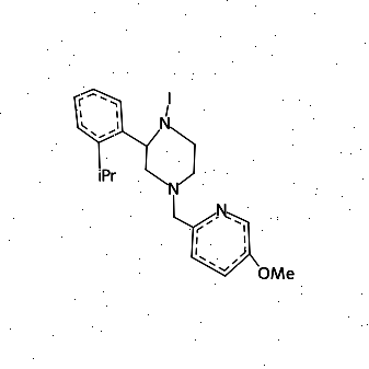 COc1ccc(CN2CCN(I)C(c3ccccc3C(C)C)C2)nc1